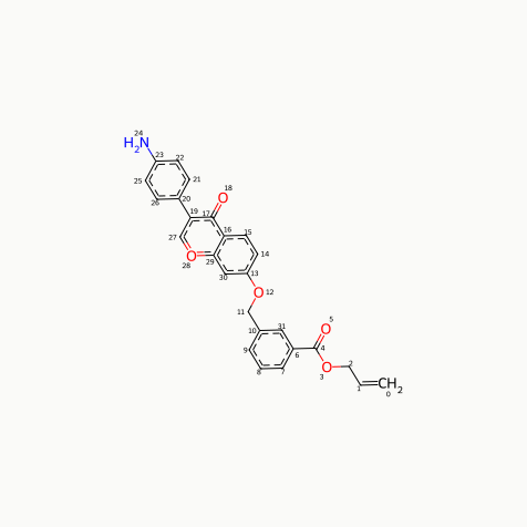 C=CCOC(=O)c1cccc(COc2ccc3c(=O)c(-c4ccc(N)cc4)coc3c2)c1